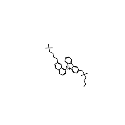 CCCCC(C)(C)Cc1ccc2c(c1)c1ccccc1n2-c1cccc2ccc(CCCCC(C)(C)C)cc12